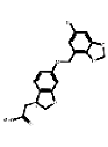 COC(=O)C[C@@H]1COc2cc(OCc3cc(Cl)cc4c3OCO4)ccc21